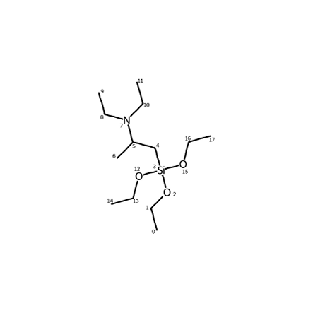 CCO[Si](CC(C)N(CC)CC)(OCC)OCC